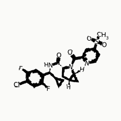 CS(=O)(=O)c1ccnc(C(=O)N2[C@@H](C(=O)N[C@@H](c3cc(F)c(Cl)cc3F)C3CC3)C[C@H]3C[C@H]32)c1